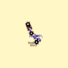 COc1cc2ncnc(-n3nc(Nc4ccc(N5CCN(C6C7CCCC6CCC7)CC5)cc4)nc3N)c2cc1OC